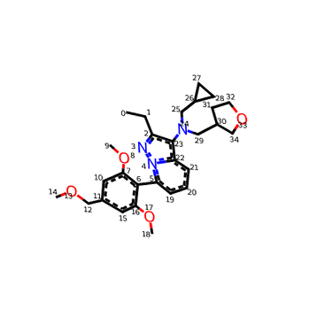 CCc1nn2c(-c3c(OC)cc(COC)cc3OC)cccc2c1N(CC1CC1)CC1CCOC1